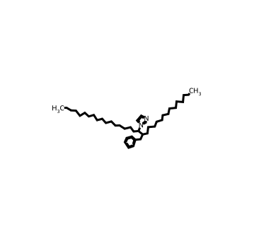 CCCCCCCCCCCCCCCCCC(C(CCCCCCCCCCCCCC)Cc1ccccc1)n1ccnc1